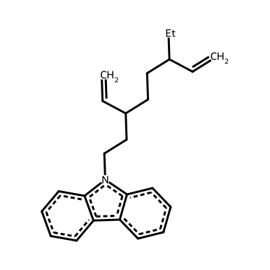 C=CC(CC)CCC(C=C)CCn1c2ccccc2c2ccccc21